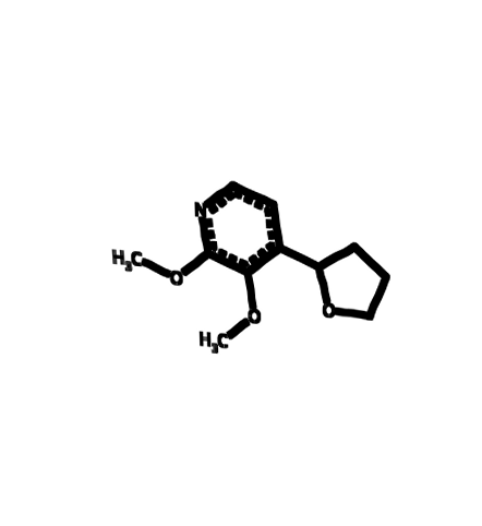 COc1nccc(C2CCCO2)c1OC